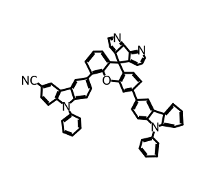 N#Cc1ccc2c(c1)c1cc(-c3cccc4c3Oc3cc(-c5ccc6c(c5)c5ccccc5n6-c5ccccc5)ccc3C43c4cccnc4-c4ncccc43)ccc1n2-c1ccccc1